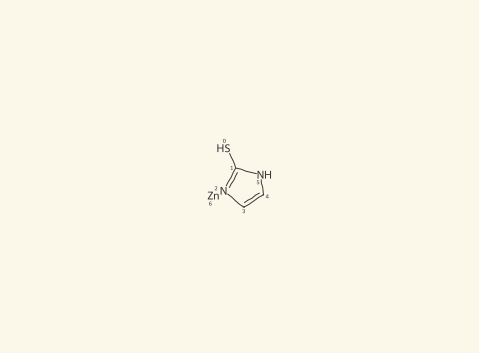 Sc1ncc[nH]1.[Zn]